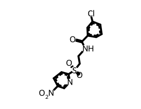 O=C(NCCS(=O)(=O)c1ccc([N+](=O)[O-])cn1)c1cccc(Cl)c1